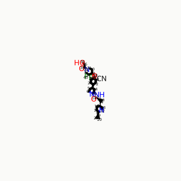 N#Cc1cc(-c2ccnc(NC(=O)[C@@H]3C[C@H]3c3ccc(C4CC4)nc3)c2)ccc1OC1CCN(C(=O)CO)CC1(F)F